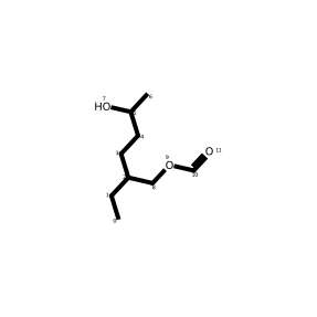 CCC(CCC(C)O)COC=O